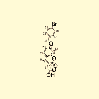 Cc1c(CC(=O)O)c(=O)oc2c(C)c(OCc3ccc(Br)cc3)ccc12